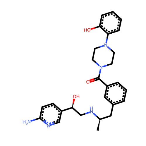 C[C@H](Cc1cccc(C(=O)N2CCN(c3ccccc3O)CC2)c1)NC[C@H](O)c1ccc(N)nc1